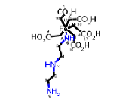 NCCNCC[NH][Fe]([CH2]C(=O)O)([CH2]C(=O)O)([CH2]C(=O)O)([CH2]C(=O)O)[CH2]C(=O)O